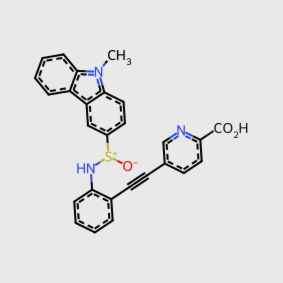 Cn1c2ccccc2c2cc([S+]([O-])Nc3ccccc3C#Cc3ccc(C(=O)O)nc3)ccc21